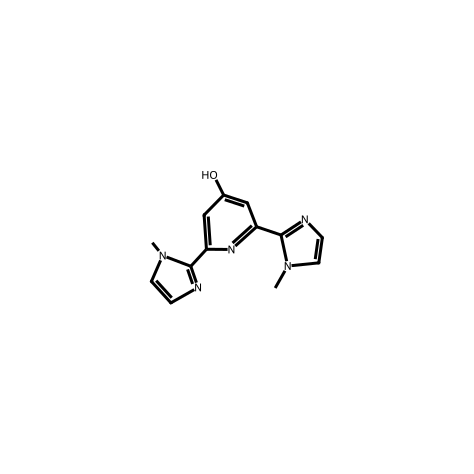 Cn1ccnc1-c1cc(O)cc(-c2nccn2C)n1